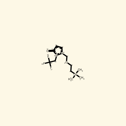 C[Si](C)(C)CCOCn1ccc(=O)n1CC(F)(F)F